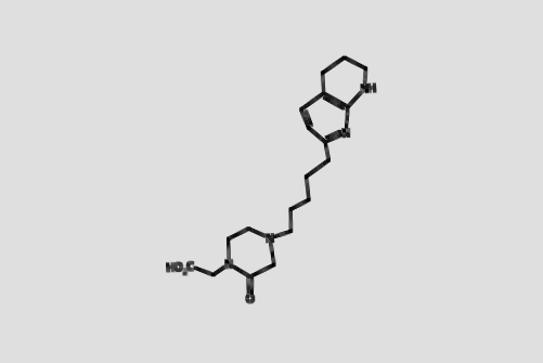 O=C(O)CN1CCN(CCCCCc2ccc3c(n2)NCCC3)CC1=O